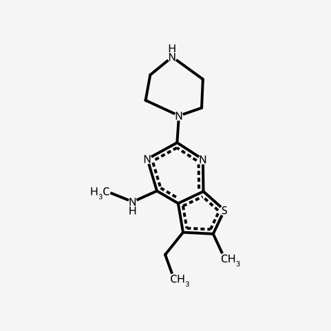 CCc1c(C)sc2nc(N3CCNCC3)nc(NC)c12